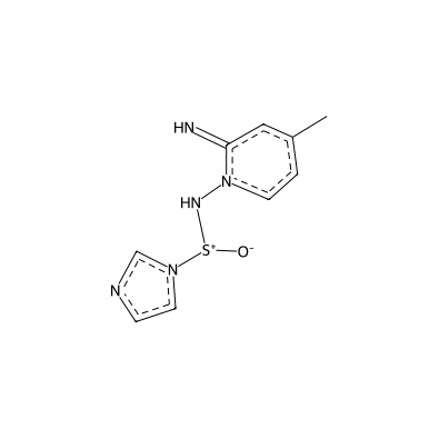 Cc1ccn(N[S+]([O-])n2ccnc2)c(=N)c1